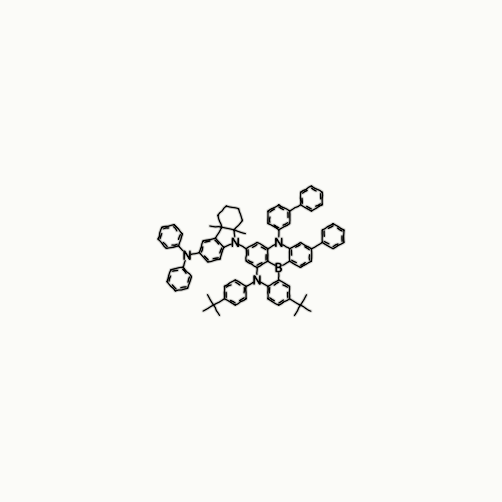 CC(C)(C)c1ccc(N2c3ccc(C(C)(C)C)cc3B3c4ccc(-c5ccccc5)cc4N(c4cccc(-c5ccccc5)c4)c4cc(N5c6ccc(N(c7ccccc7)c7ccccc7)cc6C6(C)CCCCC56C)cc2c43)cc1